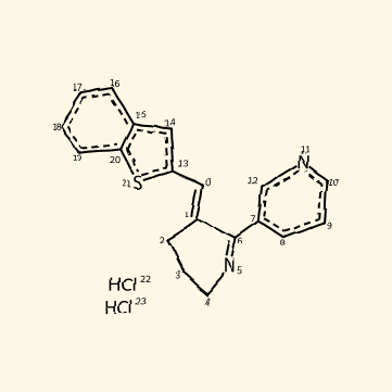 C(=C1CCCN=C1c1cccnc1)c1cc2ccccc2s1.Cl.Cl